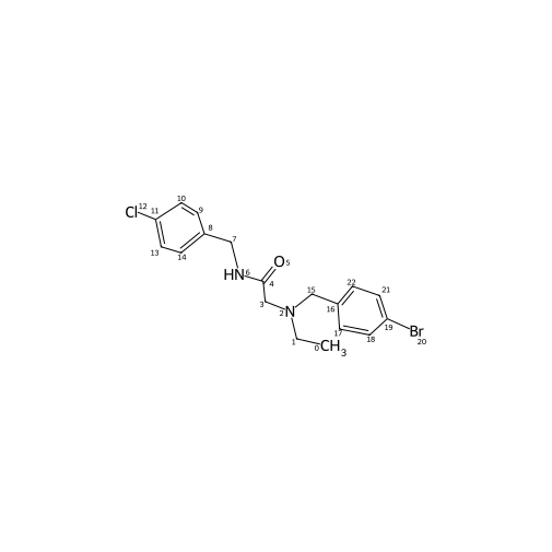 CCN(CC(=O)NCc1ccc(Cl)cc1)Cc1ccc(Br)cc1